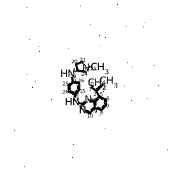 C=C/C(=C\C)c1cccc2cnc(Nc3ccc(N[C@@H]4CCN(C)C4)cc3)nc12